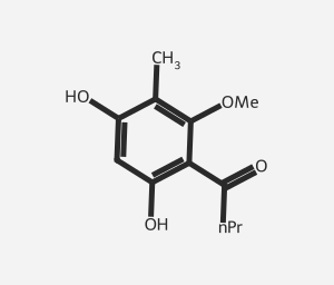 CCCC(=O)c1c(O)cc(O)c(C)c1OC